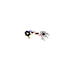 CC(C)(C)[Si](C)(C)OCCOc1nc2cccc(Br)c2s1